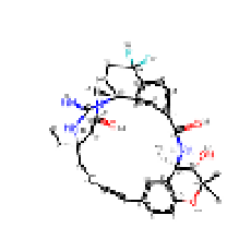 CC[C@]12CC/C=C\c3ccc4c(c3)[C@@H](NC(=O)c3ccc5c(c3)[C@@H](CCC5(F)F)N(C(=N)N1)C(=O)C2)[C@H](O)C(C)(C)O4